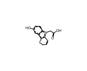 O=C(O)Cn1c2c(c3cc(O)ccc31)SCC=C2